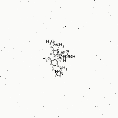 Cc1cc(Cn2ccnc2C)ccc1-c1cc(CC(C)C)sc1S(=O)(=O)NC(=O)O